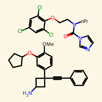 CCCN(CCOc1c(Cl)cc(Cl)cc1Cl)C(=O)n1ccnc1.COc1ccc(C2(C#Cc3ccccc3)CC(N)C2)cc1OC1CCCC1